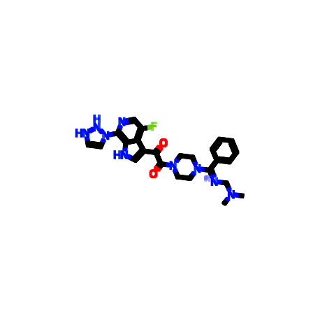 CN(C)C/N=C(\c1ccccc1)N1CCN(C(=O)C(=O)c2c[nH]c3c(N4C=CNN4)ncc(F)c23)CC1